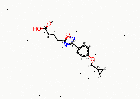 O=C(O)CCCc1nc(-c2ccc(OCC3CC3)cc2)no1